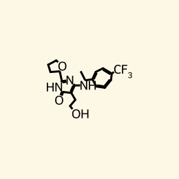 CC(Nc1nc(C2CCCO2)[nH]c(=O)c1CCO)C1=CC=C(C(F)(F)F)C=C=C1